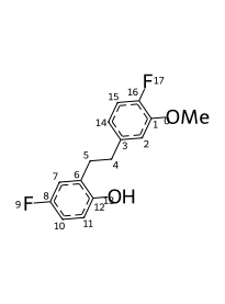 COc1cc(CCc2cc(F)ccc2O)ccc1F